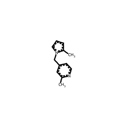 Cc1cc(Cn2cccc2C)ccn1